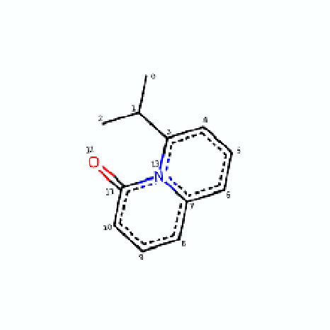 CC(C)c1cccc2cccc(=O)n12